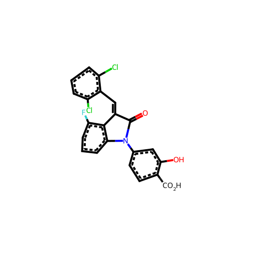 O=C(O)c1ccc(N2C(=O)/C(=C/c3c(Cl)cccc3Cl)c3c(F)cccc32)cc1O